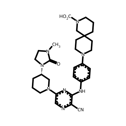 CN1CCN([C@H]2CCCN(c3cnc(C#N)c(Nc4ccc(N5CCC6(CCCN(C(=O)O)C6)CC5)cc4)n3)C2)C1=O